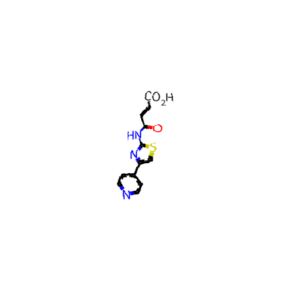 O=C(O)C=CC(=O)Nc1nc(-c2ccncc2)cs1